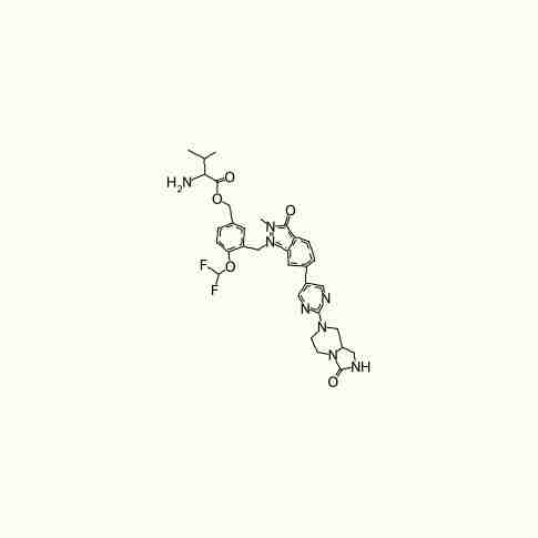 CC(C)C(N)C(=O)OCc1ccc(OC(F)F)c(Cn2c3cc(-c4cnc(N5CCN6C(=O)NCC6C5)nc4)ccc3c(=O)n2C)c1